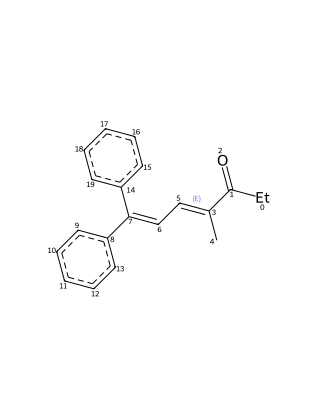 CCC(=O)/C(C)=C/C=C(c1ccccc1)c1ccccc1